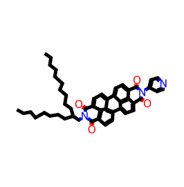 CCCCCCCCCCC(CCCCCCCC)CN1C(=O)c2ccc3c4ccc5c6c(ccc(c7ccc(c2c37)C1=O)c64)C(=O)N(c1ccncc1)C5=O